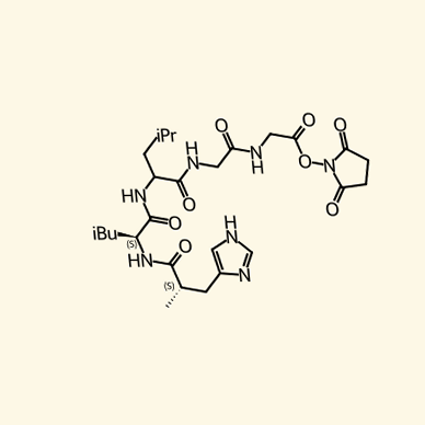 CCC(C)[C@H](NC(=O)[C@@H](C)Cc1c[nH]cn1)C(=O)NC(CC(C)C)C(=O)NCC(=O)NCC(=O)ON1C(=O)CCC1=O